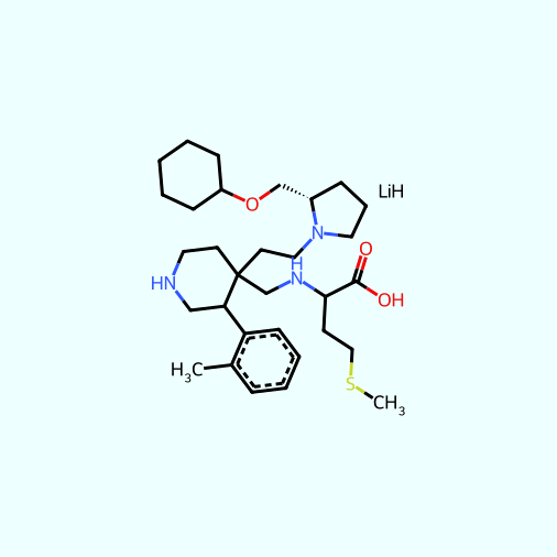 CSCCC(NCC1(CCN2CCC[C@H]2COC2CCCCC2)CCNCC1c1ccccc1C)C(=O)O.[LiH]